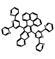 c1ccc(-c2cc(-c3c4cc5ccccc5cc4c(-c4cc(-c5ccccn5)nc(-c5ccccn5)c4)c4c5cccc6ccc7cccc(c34)c7c65)cc(-c3ccccn3)n2)nc1